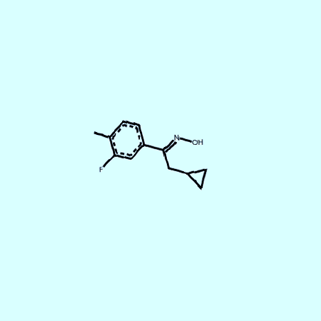 Cc1ccc(C(CC2CC2)=NO)cc1F